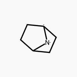 C1CC2CC[C]1[N]2